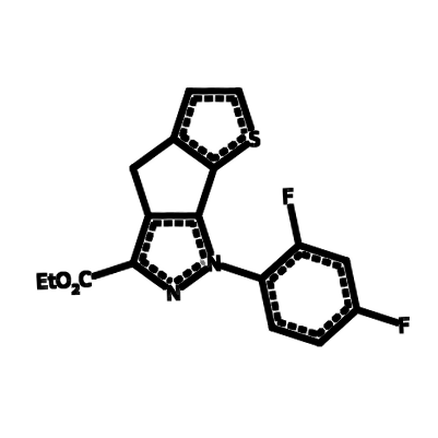 CCOC(=O)c1nn(-c2ccc(F)cc2F)c2c1Cc1ccsc1-2